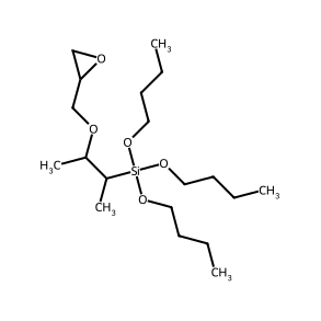 CCCCO[Si](OCCCC)(OCCCC)C(C)C(C)OCC1CO1